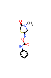 CN1CC(=NOC(=O)Nc2ccccc2)SCC1=O